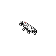 C1=C2CC3=C4CC5C(=C3)CC3=C(CC6C(=C3)CC3=C(CC7C(=C3)CC1=C(CC2c1nc2ccccc2nc14)c1nc2ccccc2nc17)c1nc2ccccc2nc16)c1nc2ccccc2nc15